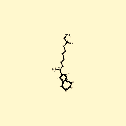 C=CC(=O)OCCCCCN(N)c1nc2ccccc2s1